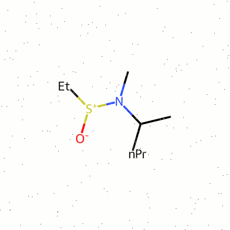 CCCC(C)N(C)[S+]([O-])CC